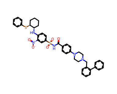 O=C(NS(=O)(=O)c1ccc(N[C@@H]2CCCC[C@@H]2Sc2ccccc2)c([N+](=O)[O-])c1)c1ccc(N2CCN(Cc3ccccc3-c3ccccc3)CC2)cc1